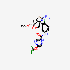 COC[C@H]1OC[C@]2(c3cc(NC(=O)c4cnc(OC(F)F)cn4)ccc3F)N=C(N)SC[C@H]12